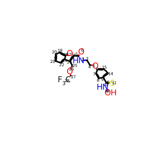 O=C(NCCOc1ccc(C(=S)NO)cc1)c1oc2ccccc2c1COCC(F)(F)F